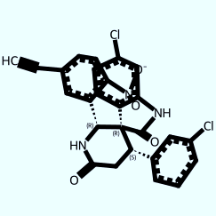 C#Cc1ccc([N+](=O)[O-])c([C@H]2NC(=O)C[C@@H](c3cccc(Cl)c3)[C@]23C(=O)Nc2cc(Cl)ccc23)c1